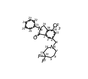 O=C1c2cc(CN3CCCC(F)(F)CC3)cc(C(F)(F)F)c2CN1c1ccccc1